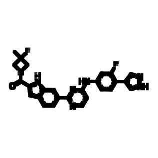 CC1(F)CN(C(=O)c2cc3ccc(-c4nccc(Nc5ccc(-c6cn[nH]c6)c(F)c5)n4)cc3[nH]2)C1